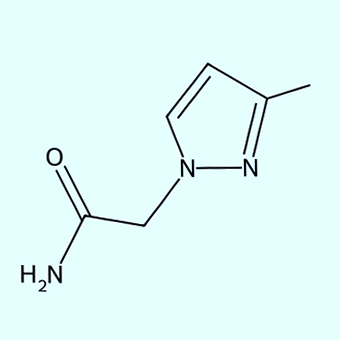 Cc1ccn(CC(N)=O)n1